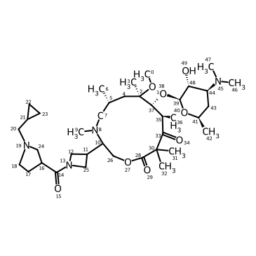 CO[C@]1(C)C[C@@H](C)CN(C)C(C2CN(C(=O)C3CCN(CC4CC4)C3)C2)COC(=O)C(C)(C)C(=O)[C@H](C)[C@H]1O[C@@H]1O[C@H](C)C[C@H](N(C)C)[C@H]1O